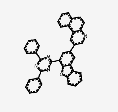 c1ccc(-c2nc(-c3ccccc3)nc(-c3cc(-c4cnc5ccc6ccccc6c5c4)cc4c3oc3ccccc34)n2)cc1